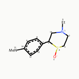 CCN1CC[S+]([O-])C(c2ccc(NC)cc2)C1